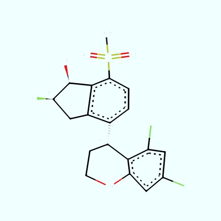 O=S(=O)(c1ccc([C@H]2CCOc3cc(F)cc(F)c32)c2c1[C@H](O)[C@H](F)C2)C(F)(F)F